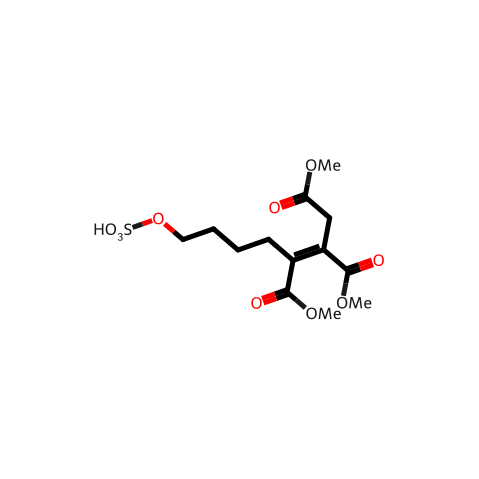 COC(=O)CC(C(=O)OC)=C(CCCCOS(=O)(=O)O)C(=O)OC